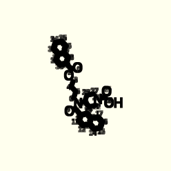 O=C(OCCCCN(C(=O)c1ccc2ccccc2c1)C1CCN(C(=O)O)CC1)c1ccc2ccccc2c1